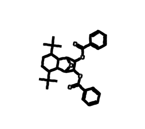 CC(C)(C)C1CCC(C(C)(C)C)C2C3OC(C(OC(=O)c4ccccc4)C3OC(=O)c3ccccc3)C21